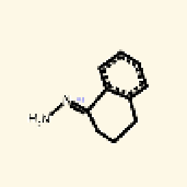 N/N=C1\CCCc2ccccc21